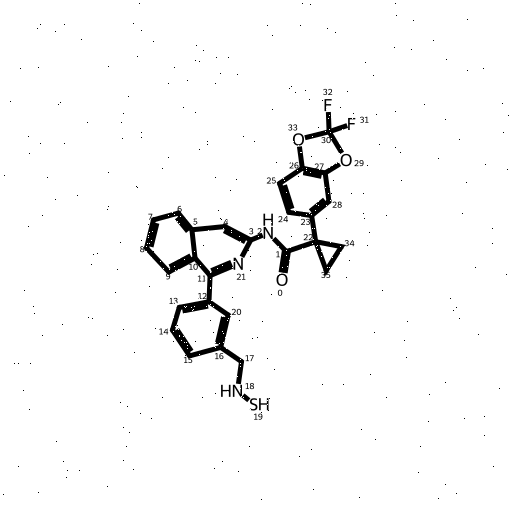 O=C(Nc1cc2ccccc2c(-c2cccc(CNS)c2)n1)C1(c2ccc3c(c2)OC(F)(F)O3)CC1